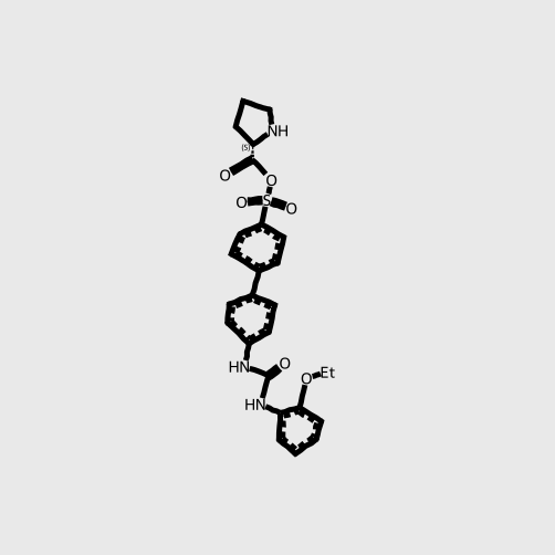 CCOc1ccccc1NC(=O)Nc1ccc(-c2ccc(S(=O)(=O)OC(=O)[C@@H]3CCCN3)cc2)cc1